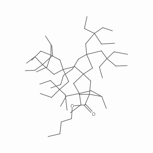 CCCCCC(CC(CC)(CC)CC)(CC(CC)(CC)CC)CC(CC(CC)(CC)CC)(CC(CC(CC)(CC)CC)(CC(CC)(CC)CC)CC(CC)(CC)CC)CC(C)(CC)C(=O)OCCCC